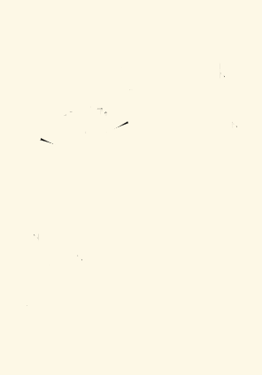 CC1(C)[C@H]2Cc3cc4nc(C5CC5)[nH]c4cc3[C@]1(C)CCN2C(=O)c1ccc2nc[nH]c2c1